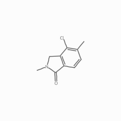 Cc1ccc2c(c1Cl)CN(C)C2=O